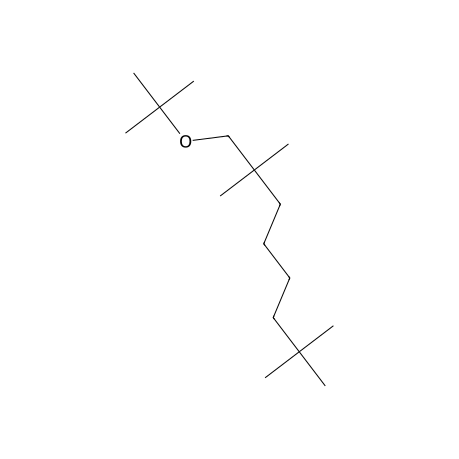 CC(C)(C)CCCCC(C)(C)COC(C)(C)C